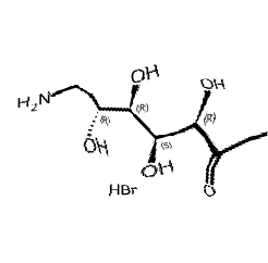 Br.CC(=O)[C@H](O)[C@@H](O)[C@H](O)[C@H](O)CN